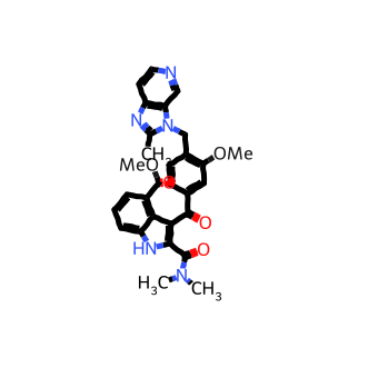 COC(=O)c1cccc2[nH]c(C(=O)N(C)C)c(C(=O)c3ccc(Cn4c(C)nc5ccncc54)c(OC)c3)c12